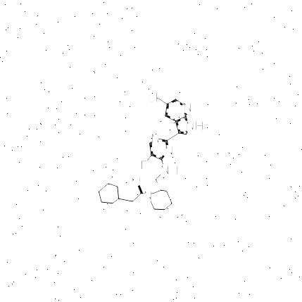 O=C(CC1CCCCC1)N1CCCC[C@@H]1CNc1nc(-c2c[nH]c3ncc(Cl)cc23)ncc1F